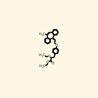 CCOC(=O)C(Cc1ccc(OC/C=C2/c3ccccc3C=C(C)c3ccccc32)cc1)OCC